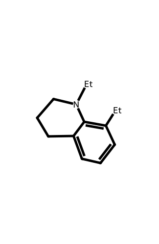 CCc1cccc2c1N(CC)CCC2